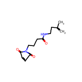 C=C(C)CCNC(=O)CCCN1C(=O)C=CC1=O